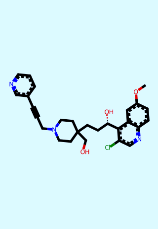 COc1ccc2ncc(Cl)c([C@@H](O)CCC3(CO)CCN(CC#Cc4cccnc4)CC3)c2c1